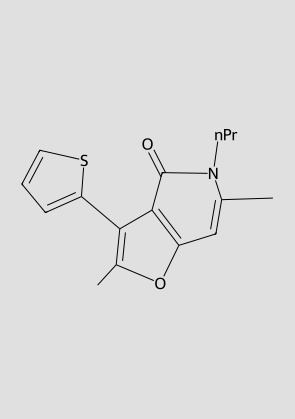 CCCn1c(C)cc2oc(C)c(-c3cccs3)c2c1=O